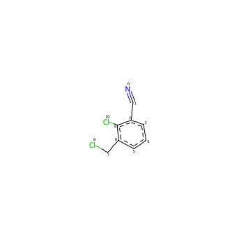 N#Cc1cccc(CCl)c1Cl